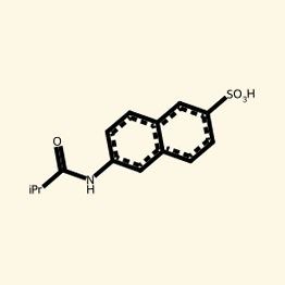 CC(C)C(=O)Nc1ccc2cc(S(=O)(=O)O)ccc2c1